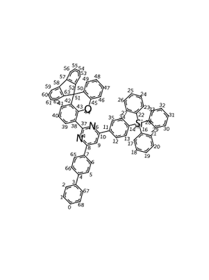 c1ccc(-c2ccc(-c3cc(-c4ccc([Si](c5ccccc5)(c5ccccc5)c5ccccc5)cc4)nc(-c4cccc5c4Oc4ccccc4C54c5ccccc5-c5ccccc54)n3)cc2)cc1